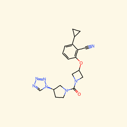 N#Cc1c(OC2CN(C(=O)N3CC[C@@H](n4cnnn4)C3)C2)cccc1C1CC1